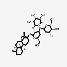 C=C1C[C@@]23CC[C@@H]4C(C)CCC[C@@]4(C)[C@@H]2CCC1(OC1O[C@H](CO)C[C@H](OC2C[C@@H](O)[C@H](O)[C@@H](CO)O2)[C@H]1O[C@@H]1O[C@@H](C)[C@H](O)[C@@H](O)[C@H]1O)C3